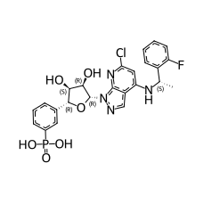 C[C@H](Nc1cc(Cl)nc2c1cnn2[C@@H]1O[C@H](c2cccc(P(=O)(O)O)c2)[C@@H](O)[C@H]1O)c1ccccc1F